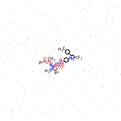 Cc1ccc(-c2cc(C(F)(F)F)nn2-c2ccc(S(=O)(=O)NC(=O)OC[C@H](C(C)C)N(C)[N+]([O-])=NOC(C)OC(=O)C(C)C)cc2)cc1